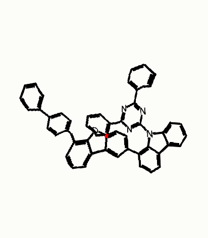 c1ccc(-c2ccc(-c3cccc4c3oc3ccc(-c5cccc6c7ccccc7n(-c7nc(-c8ccccc8)nc(-c8ccccc8)n7)c56)cc34)cc2)cc1